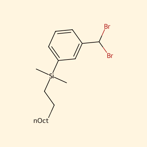 CCCCCCCCCC[Si](C)(C)c1cccc(C(Br)Br)c1